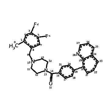 Cc1cc(F)c(F)cc1CN1CCN(C(=O)c2ccc(-c3cccc4cccnc34)cc2)CC1